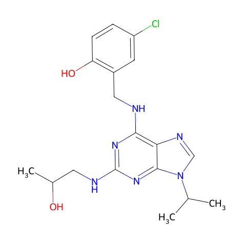 CC(O)CNc1nc(NCc2cc(Cl)ccc2O)c2ncn(C(C)C)c2n1